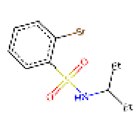 CCC(CC)NS(=O)(=O)c1ccccc1Br